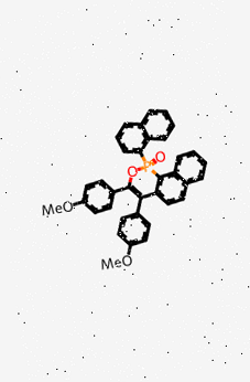 COc1ccc(C2=C(c3ccc(OC)cc3)c3ccc4ccccc4c3P(=O)(c3cccc4ccccc34)O2)cc1